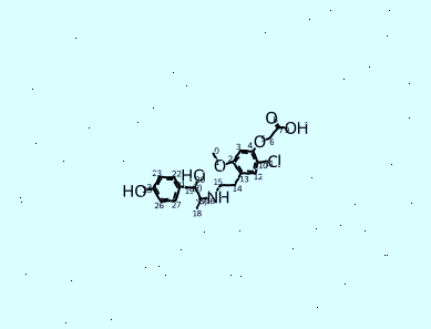 COc1cc(OCC(=O)O)c(Cl)cc1CCN[C@@H](C)[C@H](O)c1ccc(O)cc1